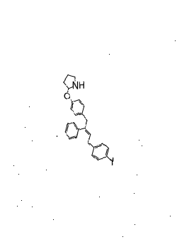 Ic1ccc(C/C=C(/Cc2ccc(OC3CCCN3)cc2)c2ccccc2)cc1